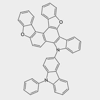 c1ccc(-n2c3ccccc3c3cc(-n4c5ccccc5c5c6oc7ccccc7c6c6c(ccc7oc8ccccc8c76)c54)ccc32)cc1